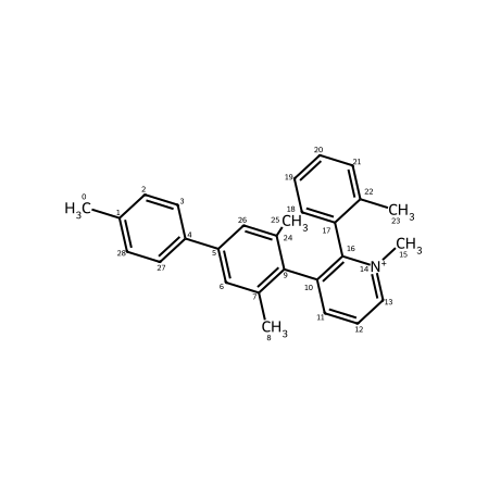 Cc1ccc(-c2cc(C)c(-c3ccc[n+](C)c3-c3ccccc3C)c(C)c2)cc1